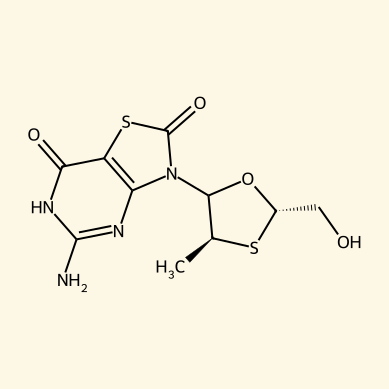 C[C@@H]1S[C@@H](CO)OC1n1c(=O)sc2c(=O)[nH]c(N)nc21